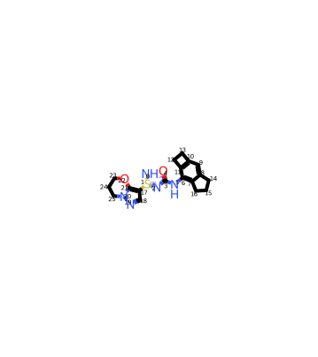 N/S(=N\C(=O)Nc1c2c(cc3c1CC3)CCC2)c1cnn2c1OCCC2